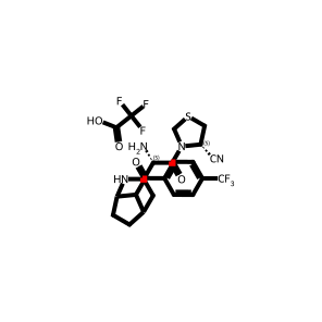 N#C[C@H]1CSCN1C(=O)[C@@H](N)C1CC2CCC(N1)C2C(=O)c1ccc(C(F)(F)F)cc1.O=C(O)C(F)(F)F